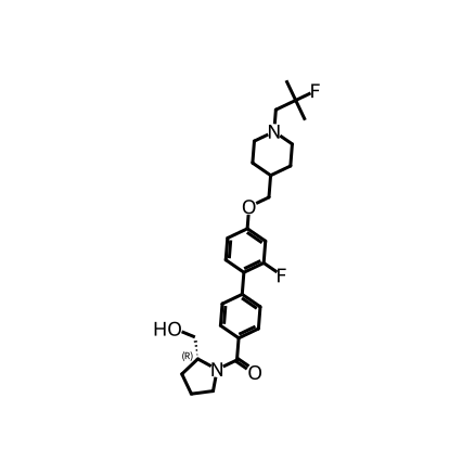 CC(C)(F)CN1CCC(COc2ccc(-c3ccc(C(=O)N4CCC[C@@H]4CO)cc3)c(F)c2)CC1